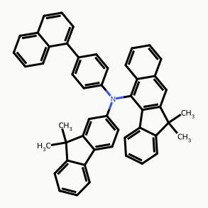 CC1(C)c2ccccc2-c2ccc(N(c3ccc(-c4cccc5ccccc45)cc3)c3c4c(cc5ccccc35)C(C)(C)c3ccccc3-4)cc21